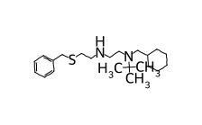 CC(C)(C)N(CCNCCSCc1ccccc1)CC1CCCCC1